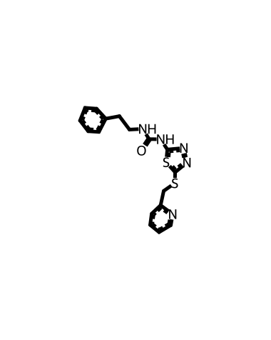 O=C(NCCc1ccccc1)Nc1nnc(SCc2ccccn2)s1